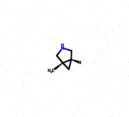 C[C@@]12CNC[C@@H]1C2